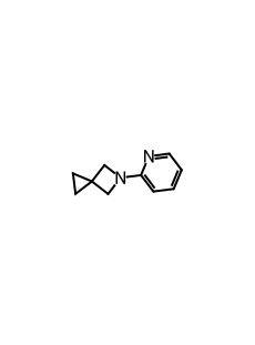 c1ccc(N2CC3(CC3)C2)nc1